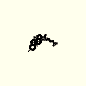 CC(NCCCN(C)C)[C@H]1CC[C@H]2[C@@H]3CC=C4C[C@@H](C)CC[C@]4(C)[C@H]3CC[C@]12C